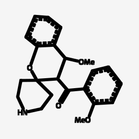 COc1ccccc1C(=O)C1C(OC)c2ccccc2OC12CCNCC2